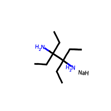 CCC(N)(CC)C(N)(CC)CC.[NaH]